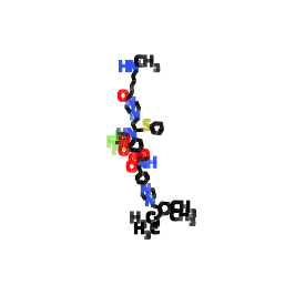 CCC(C)C1=C(CN2CCN(c3ccc(C(=O)NS(=O)(=O)c4ccc(NC(CCN5CCN(C(=O)CCCCCNC)CC5)CSc5ccccc5)c(S(=O)(=O)C(F)(F)F)c4)cc3)CC2)CCC(C)(C)C1